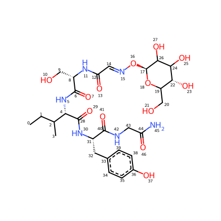 CCC(C)[C@H](NC(=O)[C@H](CO)NC(=O)/C=N/O[C@@H]1OC(CO)[C@@H](O)C(O)C1O)C(=O)N[C@@H](Cc1ccc(O)cc1)C(=O)NCC(N)=O